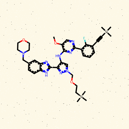 COc1cnc(-c2cccc(C#C[Si](C)(C)C)c2F)nc1Nc1cn(COCC[Si](C)(C)C)nc1-c1nc2cc(CN3CCOCC3)ccc2[nH]1